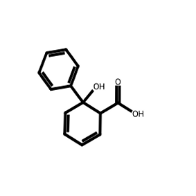 O=C(O)C1C=CC=CC1(O)c1ccccc1